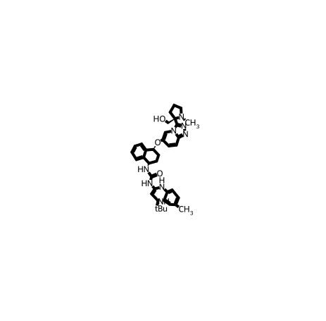 Cc1ccc(N/C(=C\C(=N)C(C)(C)C)NC(=O)N[C@H]2CC[C@@H](Oc3ccc4nnc([C@]5(CO)CCCN5C)n4c3)c3ccccc32)cc1